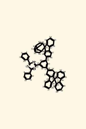 c1ccc(-c2nc(-c3ccccc3)nc(-c3cc(-c4ccc5c(c4)-c4ccccc4C54c5ccccc5-c5ccccc54)cc(-c4ccc5c(c4)C4(c6ccccc6-5)C5CC6CC(C5)CC4C6)c3)n2)cc1